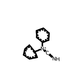 N=C=[N+](c1ccccc1)c1ccccc1